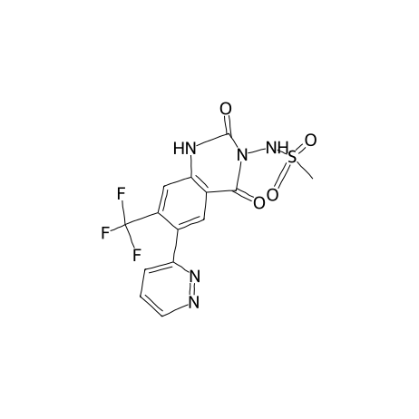 CS(=O)(=O)Nn1c(=O)[nH]c2cc(C(F)(F)F)c(-c3cccnn3)cc2c1=O